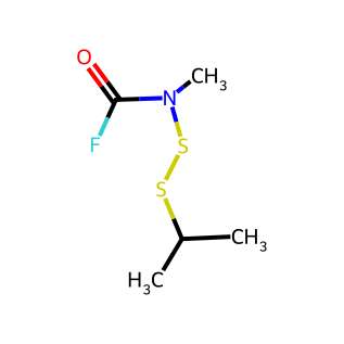 CC(C)SSN(C)C(=O)F